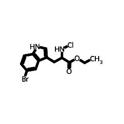 CCOC(=O)C(Cc1c[nH]c2ccc(Br)cc12)NCl